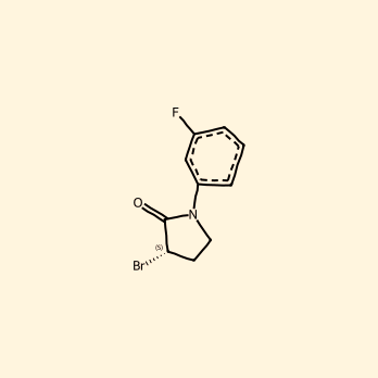 O=C1[C@@H](Br)CCN1c1cccc(F)c1